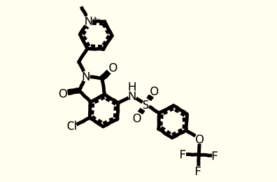 C[n+]1cccc(CN2C(=O)c3c(Cl)ccc(NS(=O)(=O)c4ccc(OC(F)(F)F)cc4)c3C2=O)c1